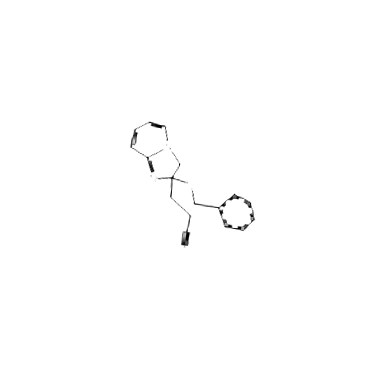 C#CCCC1(OCc2ccccc2)CN2C=CC=CC2=N1